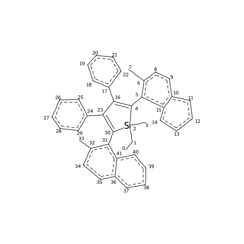 CC[Si]1(C)C(c2c(C)ccc3ccccc23)=C(c2ccccc2)C(c2ccccc2)=C1c1c(C)ccc2ccccc12